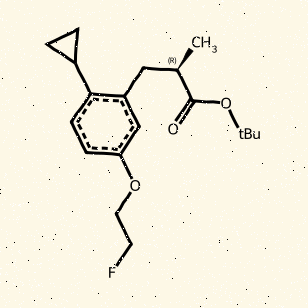 C[C@H](Cc1cc(OCCF)ccc1C1CC1)C(=O)OC(C)(C)C